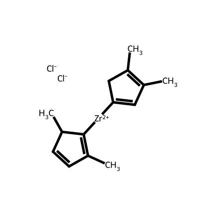 CC1=C(C)C[C]([Zr+2][C]2=C(C)C=CC2C)=C1.[Cl-].[Cl-]